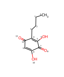 CCCCC1=C(O)C(=O)C(O)=CC1=O